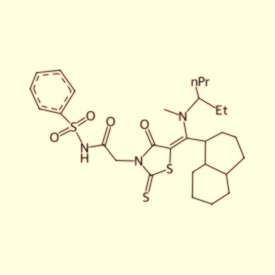 CCCC(CC)N(C)C(=C1SC(=S)N(CC(=O)NS(=O)(=O)c2ccccc2)C1=O)C1CCCC2CCCCC21